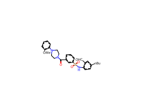 CCCCc1ccc(NS(=O)(=O)c2cccc(C(=O)N3CCN(c4ccccc4OC)CC3)c2)c(C=O)c1